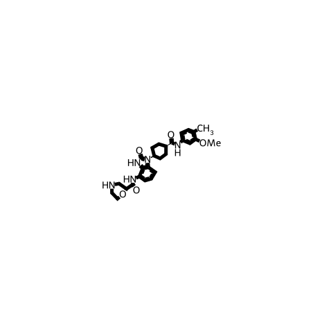 COc1cc(NC(=O)[C@H]2CC[C@@H](n3c(=O)[nH]c4c(NC(=O)C5CNCCO5)cccc43)CC2)ccc1C